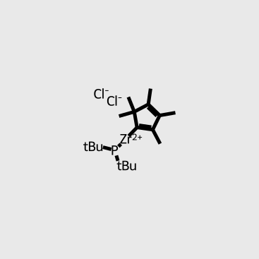 CC1=C(C)C(C)(C)[C]([Zr+2][P](C(C)(C)C)C(C)(C)C)=C1C.[Cl-].[Cl-]